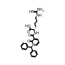 N=C(N)NCCCC[C@H](NC(=O)c1cccn(C(c2ccccc2)c2ccccc2)c1=O)C(=O)O